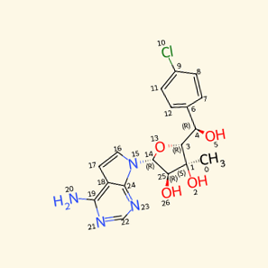 C[C@@]1(O)[C@@H]([C@H](O)c2ccc(Cl)cc2)O[C@@H](n2ccc3c(N)ncnc32)[C@@H]1O